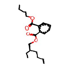 CCCCOC(=O)c1ccccc1C(=O)OCC(CC)CCCC